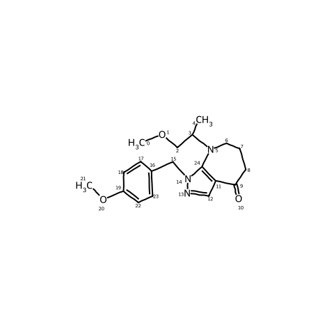 COCC(C)N1CCCC(=O)c2cnn(Cc3ccc(OC)cc3)c21